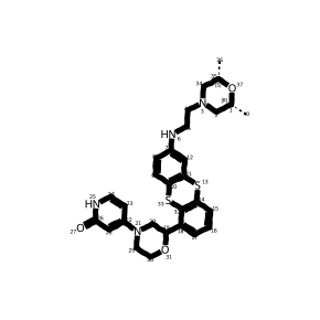 C[C@@H]1CN(CCNc2ccc3c(c2)Sc2cccc(C4CN(c5cc[nH]c(=O)c5)CCO4)c2S3)C[C@H](C)O1